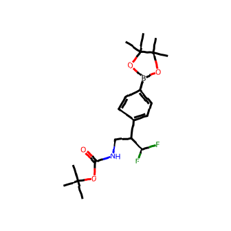 CC(C)(C)OC(=O)NCC(c1ccc(B2OC(C)(C)C(C)(C)O2)cc1)C(F)F